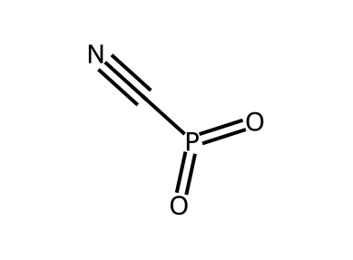 N#CP(=O)=O